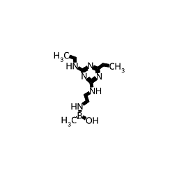 CCNc1nc(CC)nc(NCCNB(C)O)n1